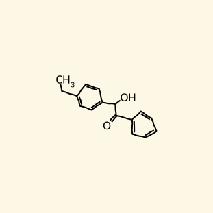 CCc1ccc(C(O)C(=O)c2ccccc2)cc1